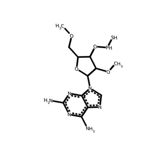 COCC1OC(n2cnc3c(N)nc(N)nc32)C(OC)C1OPS